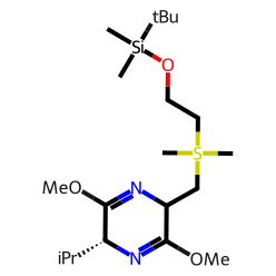 COC1=N[C@H](C(C)C)C(OC)=NC1CS(C)(C)CCO[Si](C)(C)C(C)(C)C